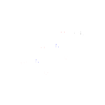 C.O=[N+]([O-])O[N+](=O)[O-]